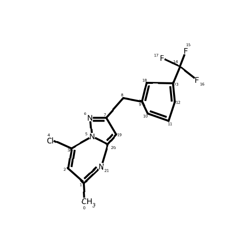 Cc1cc(Cl)n2nc(Cc3cccc(C(F)(F)F)c3)cc2n1